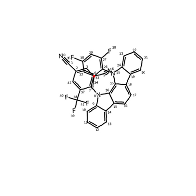 N#Cc1cc(C#N)c(-n2c3ccccc3c3ccc4c5ccccc5n(-c5c(F)cc(F)cc5F)c4c32)c(C(F)(F)F)c1